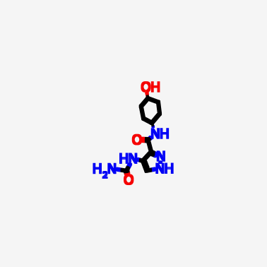 NC(=O)Nc1c[nH]nc1C(=O)N[C@H]1CC[C@H](O)CC1